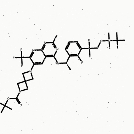 Cc1nc(N[C@H](C)c2cccc(C(F)(F)CO[Si](C)(C)C(C)(C)C)c2F)c2cc(N3CC4(CN(C(=O)OC(C)(C)C)C4)C3)c(C(F)(F)F)nc2n1